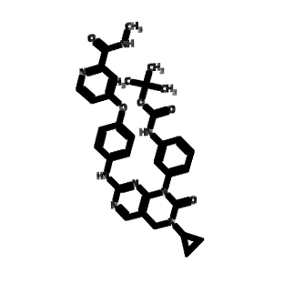 CNC(=O)c1cc(Oc2ccc(Nc3ncc4c(n3)N(c3cccc(NC(=O)OC(C)(C)C)c3)C(=O)N(C3CC3)C4)cc2)ccn1